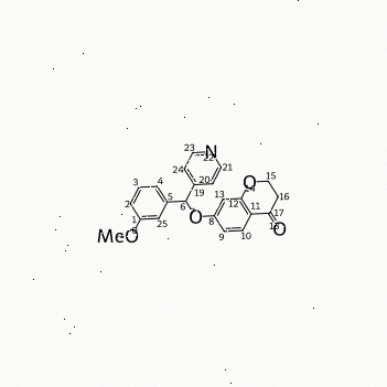 COc1cccc(C(Oc2ccc3c(c2)OCCC3=O)c2ccncc2)c1